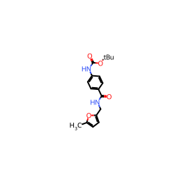 Cc1ccc(CNC(=O)c2ccc(NC(=O)OC(C)(C)C)cc2)o1